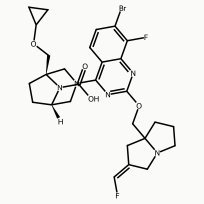 O=C(O)N1[C@H]2CC[C@]1(COC1CC1)CN(c1nc(OCC34CCCN3C/C(=C\F)C4)nc3c(F)c(Br)ccc13)C2